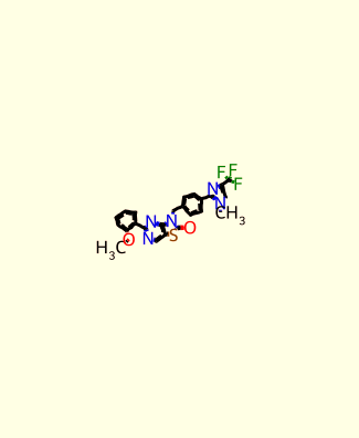 COc1ccccc1-c1ncc2sc(=O)n(Cc3ccc(-c4nc(C(F)(F)F)cn4C)cc3)c2n1